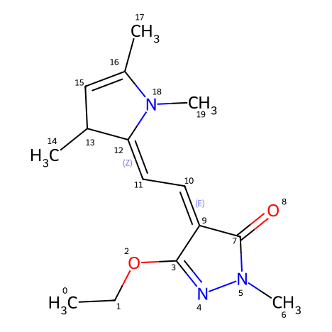 CCOC1=NN(C)C(=O)/C1=C/C=C1/C(C)C=C(C)N1C